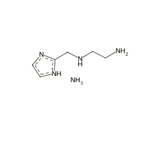 N.NCCNCc1ncc[nH]1